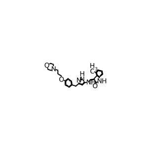 Cc1cccc2c1C(=CNc1cc(Cc3ccc(OCCCN4CCOCC4)cc3)n[nH]1)C(=O)N2